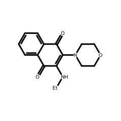 CCNC1=C(N2CCOCC2)C(=O)c2ccccc2C1=O